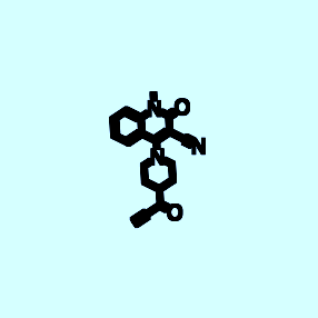 C#CC(=O)C1CCN(c2c(C#N)c(=O)n(C)c3ccccc23)CC1